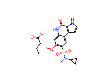 CCCC(=O)O.COc1cc2[nH]c(=O)c3[nH]ccc3c2cc1S(=O)(=O)N(C)C1CC1